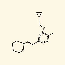 Cc1ccc(COC2CCCCO2)cc1OCC1CC1